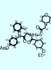 CCO[C@H]1CC[C@@](CSC(=O)CN2CCOCC2)(C(=O)N[C@@H](Cc2ccccc2)C(=O)Nc2ccc(OC)cc2)CC1